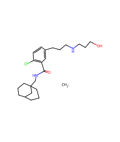 O=C(NCC12CCCC(CCC1)C2)c1cc(CCCNCCCO)ccc1Cl.[CH2]